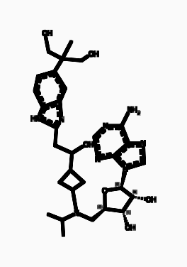 CC(C)N(C[C@H]1O[C@@H](n2cnc3c(N)ncnc32)[C@H](O)[C@@H]1O)C1CC(C(O)Cc2nc3cc(C(C)(CO)CO)ccc3[nH]2)C1